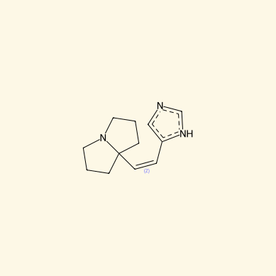 C(=C/C12CCCN1CCC2)/c1cnc[nH]1